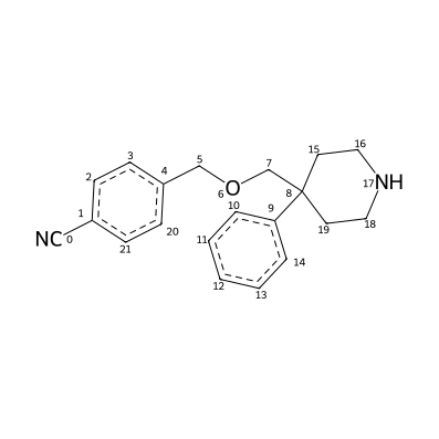 N#Cc1ccc(COCC2(c3ccccc3)CCNCC2)cc1